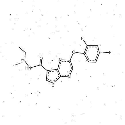 CC[C@@H](C)NC(=O)c1c[nH]c2ncc(Oc3ccc(F)cc3F)nc12